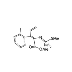 C=C/C(=C(\N=C(/N)SC)C(=O)OC)c1ccccc1C